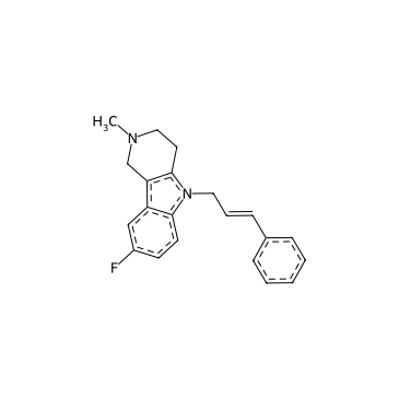 CN1CCc2c(c3cc(F)ccc3n2C/C=C/c2ccccc2)C1